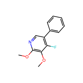 COc1ncc(-c2ccccc2)c(F)c1OC